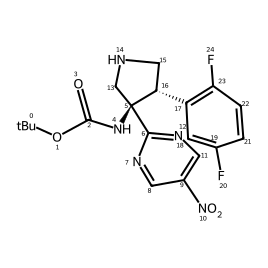 CC(C)(C)OC(=O)N[C@@]1(c2ncc([N+](=O)[O-])cn2)CNC[C@@H]1c1cc(F)ccc1F